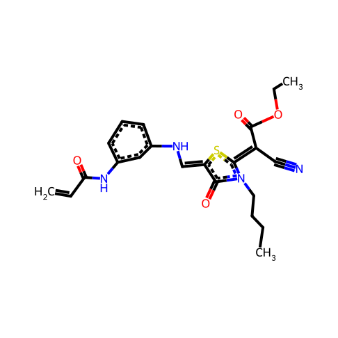 C=CC(=O)Nc1cccc(NC=c2sc(=C(C#N)C(=O)OCC)n(CCCC)c2=O)c1